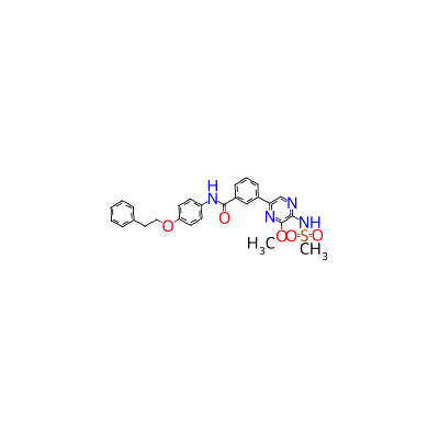 COc1nc(-c2cccc(C(=O)Nc3ccc(OCCc4ccccc4)cc3)c2)cnc1NS(C)(=O)=O